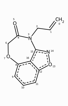 C=CCN1C(=O)COc2cccc3onc1c23